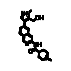 CN1CCC(C(=O)Nc2cc3cc(-c4cnn(C)c4CO)ccc3cn2)CC1